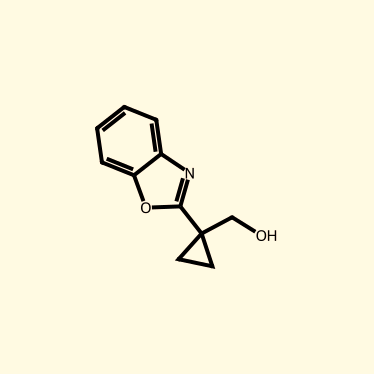 OCC1(c2nc3ccccc3o2)CC1